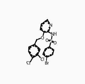 O=S(=O)(Nc1ncccc1OCc1ccc(Cl)c(Cl)c1)c1ccc(Br)cc1